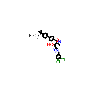 CCOC(=O)C1(c2ccc(-c3ccc(-c4onc(C)c4C(O)c4cn(Cc5ccc(Cl)c(Cl)c5)nn4)cc3)cc2)CC1